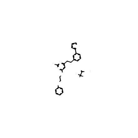 Nc1nc(CCc2cccc(-c3ccco3)c2)cc(OCCOc2ccccc2)n1.O=C(O)C(F)(F)F